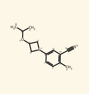 Cc1ccc(N2CC(OC(C)C)C2)cc1C#N